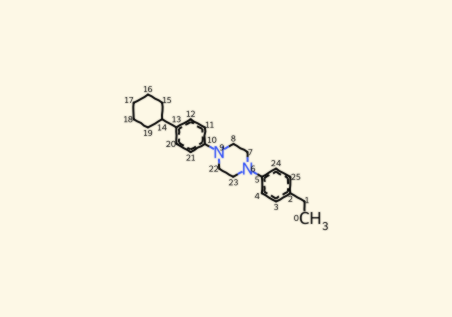 CCc1ccc(N2CCN(c3ccc(C4CCCCC4)cc3)CC2)cc1